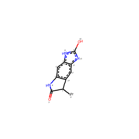 CC(C)C1C(=O)Nc2cc3[nH]c(O)nc3cc21